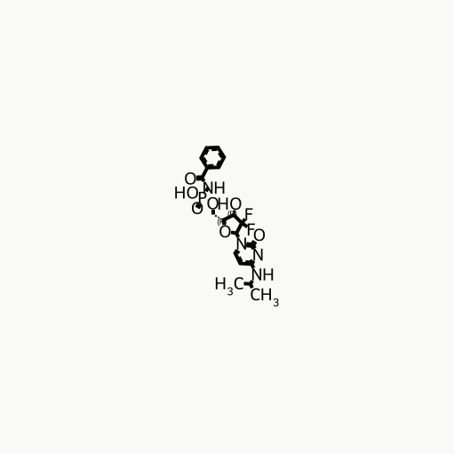 CC(C)Nc1ccn(C2O[C@H](COP(=O)(O)NC(=O)c3ccccc3)[C@@H](O)C2(F)F)c(=O)n1